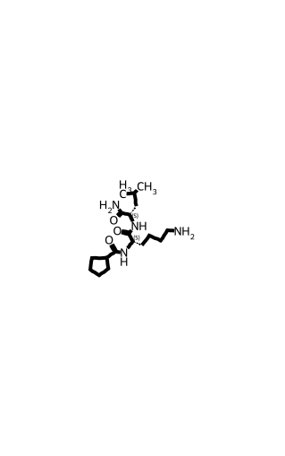 CC(C)C[C@H](NC(=O)[C@H](CCCCN)NC(=O)C1CCCC1)C(N)=O